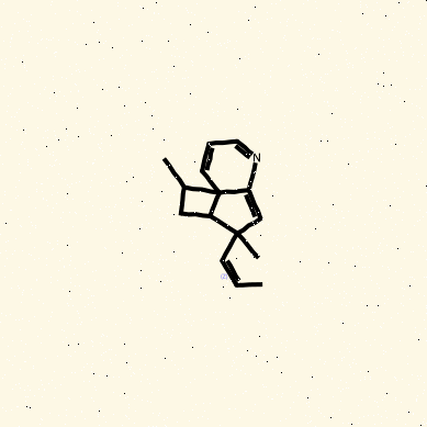 C/C=C\C1(C)C=C2N=CC=CC23C(C)CC13